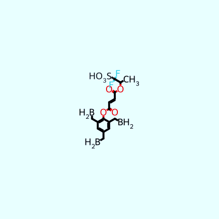 BCc1cc(CB)c(OC(=O)/C=C/C(=O)OC(C)C(F)(F)S(=O)(=O)O)c(CB)c1